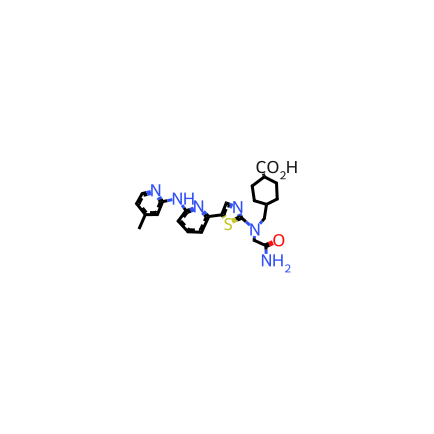 Cc1ccnc(Nc2cccc(-c3cnc(N(CC(N)=O)CC4CCC(C(=O)O)CC4)s3)n2)c1